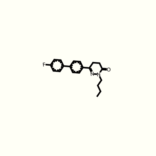 CCCCN1N=C(c2ccc(-c3ccc(F)cc3)cc2)CCC1=O